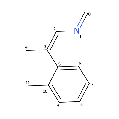 C=N/C=C(/C)c1ccccc1C